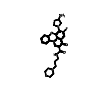 NC1CCN(c2c(F)cc3c(=O)c(C(=O)NCCCN4CCOCC4)cn4c3c2Oc2ccccc2-4)C1